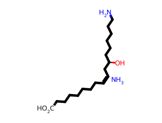 N.NCCCCCC[C@@H](O)C/C=C\CCCCCCCC(=O)O